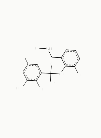 CCCC(CC)(Pc1c(C)cccc1CNC(C)C)c1cc(C)cc(C)c1O